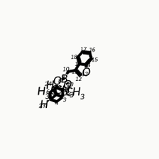 CC1(C)C2C[C@H]1C[C@H]1OB(Cc3coc4ccccc34)O[C@@]21C